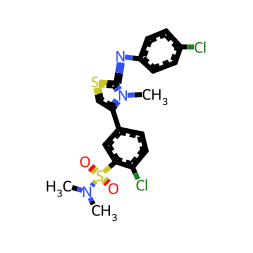 CN(C)S(=O)(=O)c1cc(-c2csc(=Nc3ccc(Cl)cc3)n2C)ccc1Cl